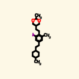 Cc1cc(CCC2CCC(C)CC2)cc(I)c1CCC1COC(C)OC1